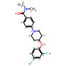 CN(C)C(=O)c1ccc(N2CCC(Oc3ccc(F)cc3F)CC2)cc1